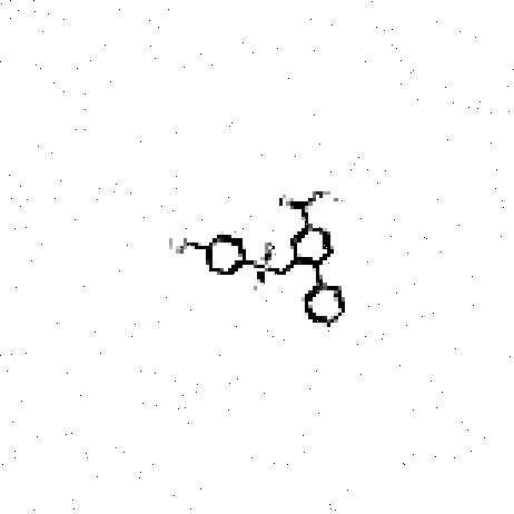 NC(=O)c1ccc(-c2ccccc2)c(CS(=O)(=O)c2ccc(N)cc2)c1